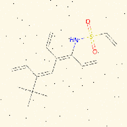 C=C/C(=C\C(C=C)=C(/C=C)NS(=O)(=O)C=C)C(C)(C)C